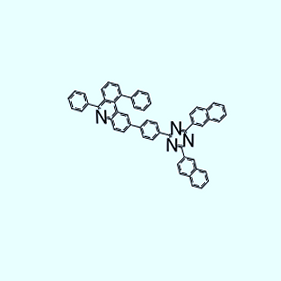 c1ccc(-c2nc3ccc(-c4ccc(-c5nc(-c6ccc7ccccc7c6)nc(-c6ccc7ccccc7c6)n5)cc4)cc3c3c(-c4ccccc4)cccc23)cc1